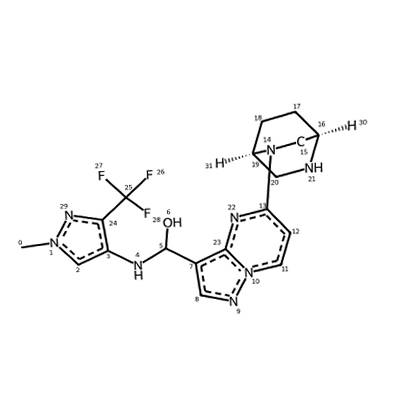 Cn1cc(NC(O)c2cnn3ccc(N4C[C@H]5CC[C@@H]4CN5)nc23)c(C(F)(F)F)n1